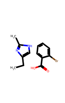 CCc1c[nH]c(C)n1.O=C(O)c1ccccc1Br